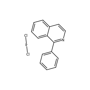 [Cl][Ir][Cl].c1ccc(-c2nccc3ccccc23)cc1